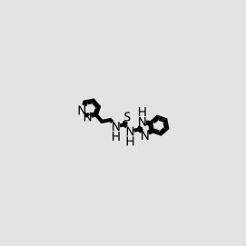 S=C(NCCc1cccnn1)Nc1nc2ccccc2[nH]1